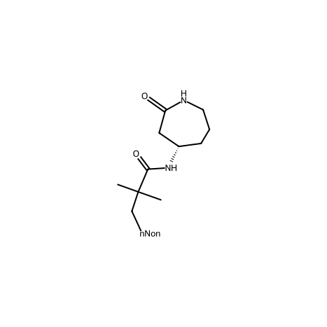 CCCCCCCCCCC(C)(C)C(=O)N[C@H]1CCCNC(=O)C1